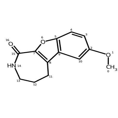 COc1ccc2oc3c(c2c1)CCCNC3=O